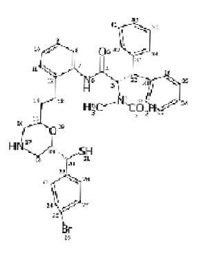 CN(C(=O)O)[C@H](C(=O)Nc1ccccc1CC[C@@H]1CNC[C@@H](C(S)c2ccc(Br)cc2)O1)C(c1ccccc1)c1ccccc1